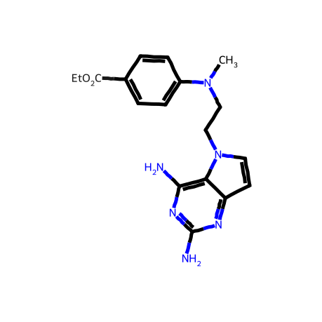 CCOC(=O)c1ccc(N(C)CCn2ccc3nc(N)nc(N)c32)cc1